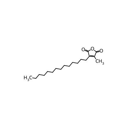 CCCCCCCCCCCCCCC1=C(C)C(=O)OC1=O